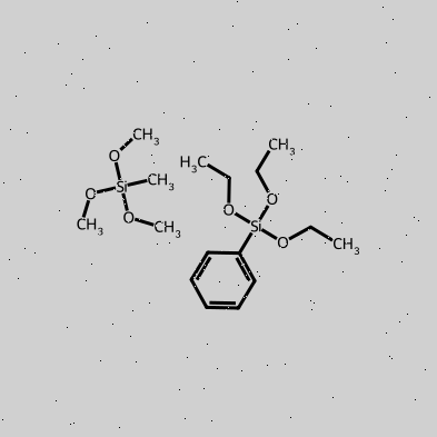 CCO[Si](OCC)(OCC)c1ccccc1.CO[Si](C)(OC)OC